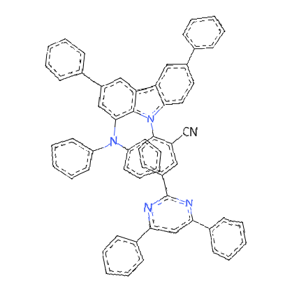 N#Cc1cc(-c2nc(-c3ccccc3)cc(-c3ccccc3)n2)ccc1-n1c2ccc(-c3ccccc3)cc2c2cc(-c3ccccc3)cc(N(c3ccccc3)c3ccccc3)c21